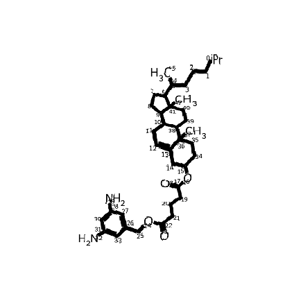 CC(C)CCCC(C)C1CCC2C3CC=C4CC(OC(=O)CCCC(=O)OCc5cc(N)cc(N)c5)CCC4(C)C3CCC12C